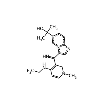 CN1C=CC(NCC(F)(F)F)=C(C(=N)c2cnc3ccc(C(C)(C)O)cn23)C1